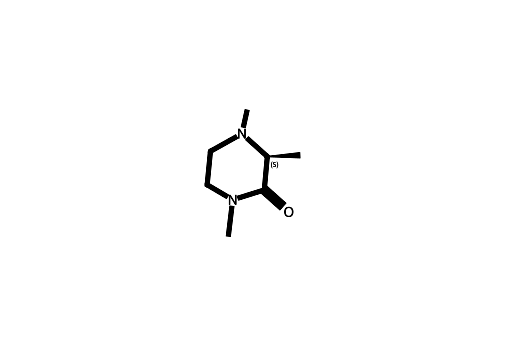 C[C@H]1C(=O)N(C)CCN1C